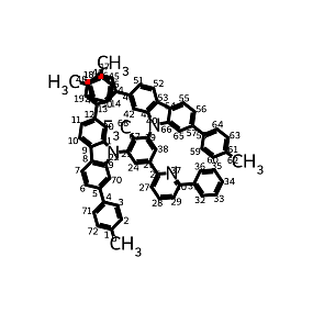 Cc1ccc(-c2ccc3c4ccc(-c5ccc(C)cc5)cc4n(-c4cc(-c5cccc(-c6ccccc6)n5)cc(-n5c6cc(-c7ccc(C)cc7)ccc6c6ccc(-c7ccc(C)cc7)cc65)c4C(F)(F)F)c3c2)cc1